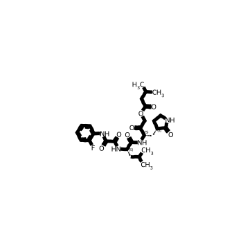 CC(C)CC(=O)OCC(=O)[C@H](C[C@@H]1CCNC1=O)NC(=O)[C@H](CC(C)C)NC(=O)C(=O)Nc1ccccc1F